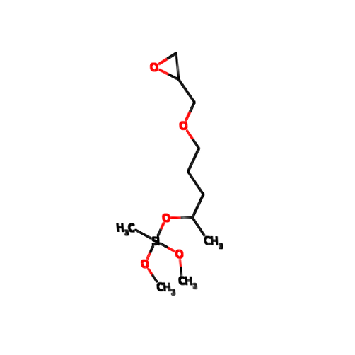 CO[Si](C)(OC)OC(C)CCCOCC1CO1